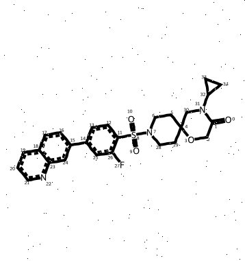 O=C1COC2(CCN(S(=O)(=O)c3ccc(-c4ccc5cccnc5c4)cc3F)CC2)CN1C1CC1